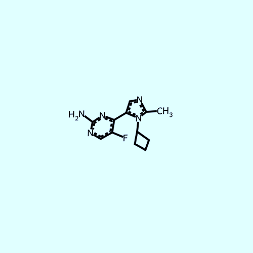 Cc1ncc(-c2nc(N)ncc2F)n1C1CCC1